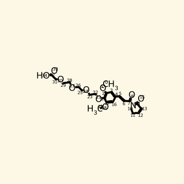 COc1cc(C=CC(=O)N2CCC=CC2=O)cc(OC)c1OCCOCCOCCOCC(=O)O